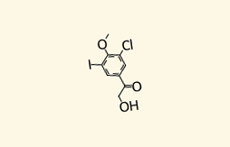 COc1c(Cl)cc(C(=O)CO)cc1I